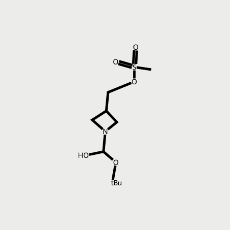 CC(C)(C)OC(O)N1CC(COS(C)(=O)=O)C1